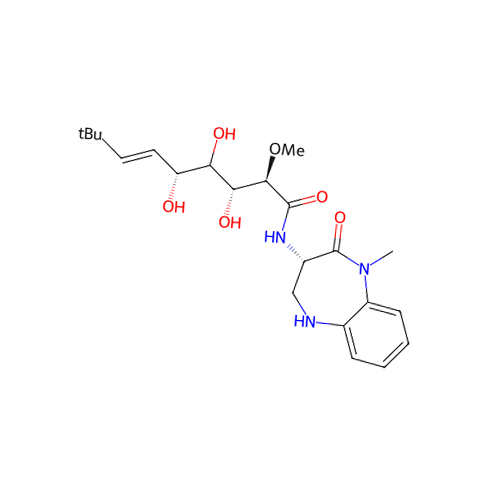 CO[C@@H](C(=O)N[C@H]1CNc2ccccc2N(C)C1=O)[C@H](O)C(O)[C@H](O)/C=C/C(C)(C)C